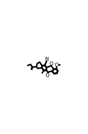 C=C(CC)C1CCc2c(C#N)c3c(c(C)c2C1)C(=O)c1cccc(OC)c1C3=O